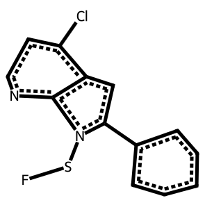 FSn1c(-c2ccccc2)cc2c(Cl)ccnc21